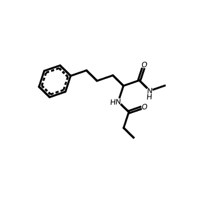 CCC(=O)NC(CCCc1ccccc1)C(=O)NC